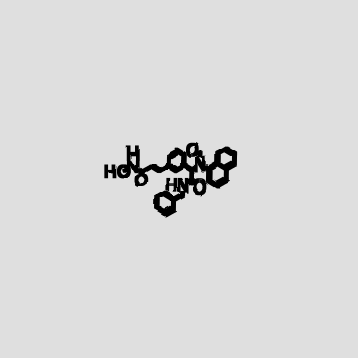 O=CN(c1cccc2ccccc12)C(C(=O)NCc1ccccc1)c1cccc(C=CC(=O)NO)c1